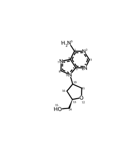 Nc1ncnc2c1ncn2C1CO[C@@H](CO)C1